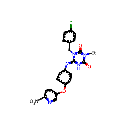 CCn1c(=O)[nH]/c(=N\c2ccc(Oc3ccc([N+](=O)[O-])nc3)cc2)n(Cc2ccc(Cl)cc2)c1=O